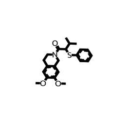 COc1cc2c(cc1OC)CN(C(=O)C(Sc1ccccc1)C(C)C)CC2